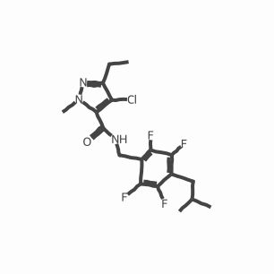 CCc1nn(C)c(C(=O)NCc2c(F)c(F)c(CC(C)C)c(F)c2F)c1Cl